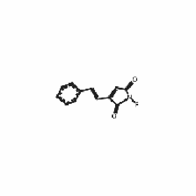 O=C1C=C(C=Cc2ccccc2)C(=O)N1F